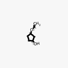 C=COC1CCC(O)C1